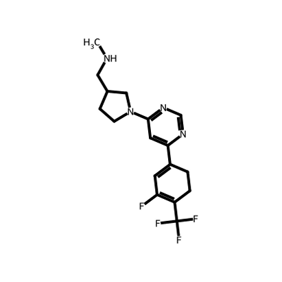 CNCC1CCN(c2cc(C3=CC(F)=C(C(F)(F)F)CC3)ncn2)C1